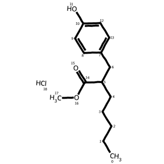 CCCCCC(Cc1ccc(O)cc1)C(=O)OC.Cl